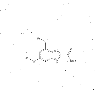 CCCOc1cc(OC(C)C)c2cc(C(=O)OC)[nH]c2c1